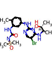 Cc1ccc(Nc2ncc(Br)c(N[C@H](C)[C@@H](C)O)n2)cc1NC(=O)N=S(C)(C)=O